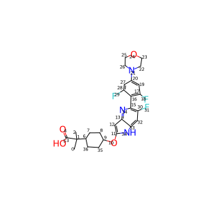 CC(C)(C(=O)O)C1CCC(Oc2cc3nc(-c4c(F)cc(N5CCOCC5)cc4F)c(F)cc3[nH]2)CC1